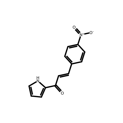 O=C(C=Cc1ccc([N+](=O)[O-])cc1)c1ccc[nH]1